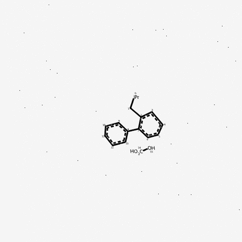 CC(C)Cc1ccccc1-c1ccccc1.O=C(O)O